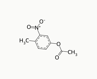 CC(=O)Oc1ccc(C)c([N+](=O)[O-])c1